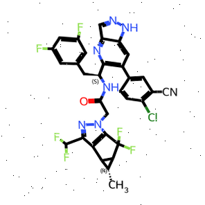 C[C@@H]1C2c3c(C(F)F)nn(CC(=O)N[C@@H](Cc4cc(F)cc(F)c4)c4nc5cn[nH]c5cc4-c4ccc(Cl)c(C#N)c4)c3C(F)(F)C21